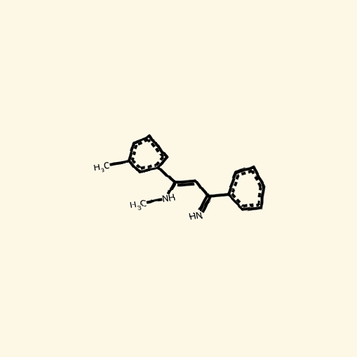 CN/C(=C\C(=N)c1ccccc1)c1cccc(C)c1